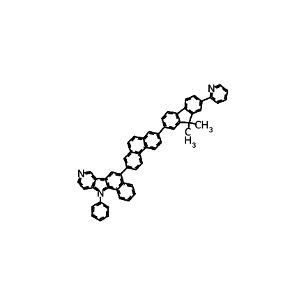 CC1(C)c2cc(-c3ccc4c(ccc5cc(-c6cc7c8cnccc8n(-c8ccccc8)c7c7ccccc67)ccc54)c3)ccc2-c2ccc(-c3ccccn3)cc21